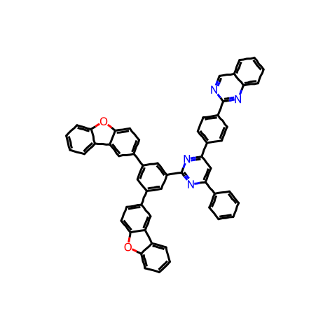 c1ccc(-c2cc(-c3ccc(-c4ncc5ccccc5n4)cc3)nc(-c3cc(-c4ccc5oc6ccccc6c5c4)cc(-c4ccc5oc6ccccc6c5c4)c3)n2)cc1